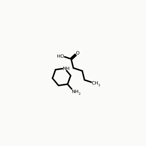 CCCCC(=O)O.NC1CCCNC1